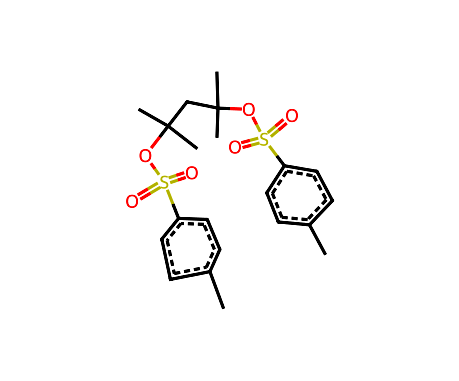 Cc1ccc(S(=O)(=O)OC(C)(C)CC(C)(C)OS(=O)(=O)c2ccc(C)cc2)cc1